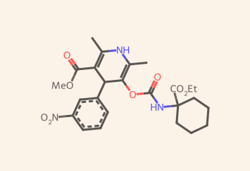 CCOC(=O)C1(NC(=O)OC2=C(C)NC(C)=C(C(=O)OC)C2c2cccc([N+](=O)[O-])c2)CCCCC1